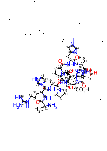 CC(C)C[C@H](NC(=O)[C@H](Cc1c[nH]cn1)NC(=O)[C@@H]1CCCN1C(=O)[C@H](Cc1c[nH]cn1)NC(=O)[C@@H]1CCCN1C(=O)[C@H](Cc1c[nH]cn1)NC(=O)[C@H](CCCNC(=N)N)NC(=O)[C@H](C)N)C(=O)N[C@@H](CO)C(=O)N[C@@H](Cc1ccccc1)C(=O)O